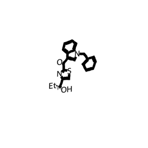 CC[C@@H](O)c1csc(C(=O)c2cn(Cc3ccccc3)c3ccccc23)n1